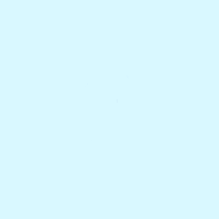 CCOc1ccccc1P(=O)(CCCC=C=O)OC